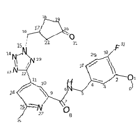 COc1cc(CNC(=O)c2cc(-c3nnn(CC4CCC(=O)C4)n3)cc(C)n2)ccc1F